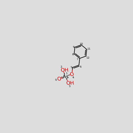 O=[As](O)(O)OC=Cc1ccccc1